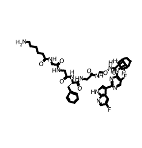 NCCCCCC(=O)NCC(=O)NCC(=O)N[C@@H](Cc1ccccc1)C(=O)NCC(=O)NCONC(=O)[C@H]1C2CCC(CC2)[C@@H]1Nc1nc(-c2c[nH]c3ncc(F)cc23)ncc1F